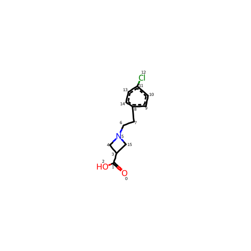 O=C(O)C1CN(CCc2ccc(Cl)cc2)C1